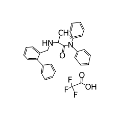 CC(NCc1ccccc1-c1ccccc1)C(=O)N(c1ccccc1)c1ccccc1.O=C(O)C(F)(F)F